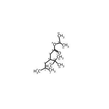 CC(C)CC(CC(=O)OC(C)C)C(C)(C)C